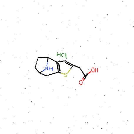 Cl.O=C(O)Cc1cc2c(s1)CC1CCC2N1